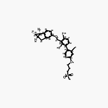 Cc1cc(OCCCS(C)(=O)=O)ncc1-c1ccc(F)c(COc2ccc3c(c2)C[C@H]2[C@H](C)[C@@H]32)c1F